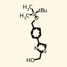 CC(C)(C)[Si](C)(C)OCc1ccc(-c2csc(CO)n2)cc1